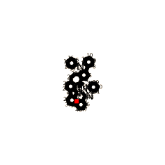 CC1(C)c2ccc3c4ccccc4n(-c4ccccc4)c3c2C=Cc2ccc3c4ccccc4n(C4Nc5ccccc5N=C4c4ccccc4)c3c21